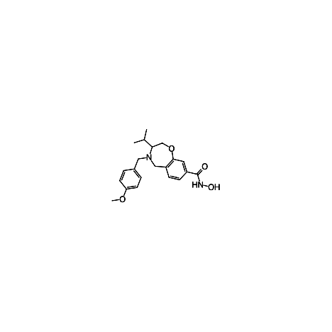 COc1ccc(CN2Cc3ccc(C(=O)NO)cc3OCC2C(C)C)cc1